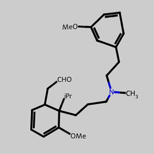 COC1=CC=CC(CC=O)C1(CCCN(C)CCc1cccc(OC)c1)C(C)C